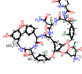 CC(C)C[C@H](NC(=O)OC(C)(C)C)C(=O)N[C@H]1C(=O)N[C@@H](CC(N)=O)C(=O)N[C@H]2C(=O)NC3C(=O)N[C@H](C(=O)N[C@H](C(=O)O)c4cc(O)cc(O)c4-c4cc3ccc4O)[C@H](O)c3ccc(c(Cl)c3)Oc3cc2cc(c3OC2C[C@](C)(N)[C@H](O)[C@H](C)O2)Oc2ccc(cc2Cl)[C@H]1O